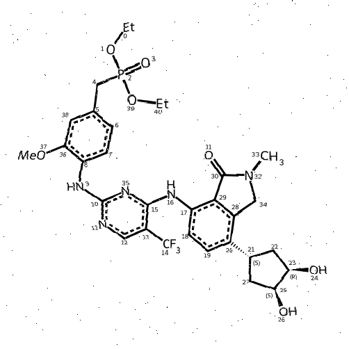 CCOP(=O)(Cc1ccc(Nc2ncc(C(F)(F)F)c(Nc3ccc([C@@H]4C[C@@H](O)[C@@H](O)C4)c4c3C(=O)N(C)C4)n2)c(OC)c1)OCC